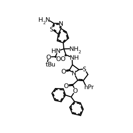 CCCC1=C(C(=O)OC(c2ccccc2)c2ccccc2)N2C(=O)C(NC(=O)C(N)(NC(=O)OC(C)(C)C)c3ccc4nc(N)sc4c3)C2SC1